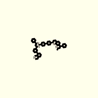 Cc1cc(-c2ccccc2)c2ccc3ccc(-c4ccc(-c5ccc(-c6nc(-c7ccccc7)cc(-c7cccc(-c8cccc9ccncc89)c7)n6)cc5)cc4)nc3c2n1